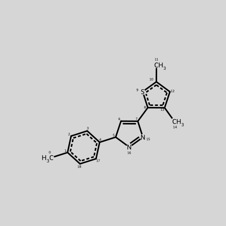 Cc1ccc(C2C=C(c3sc(C)cc3C)N=N2)cc1